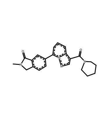 CN1Cc2ccc(-c3cccc4c(C(=O)N5CCCCC5)cnn34)cc2C1=O